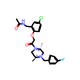 CC(=O)NCc1cc(Cl)ccc1OCC(=O)N1C[C@H](C)N(Cc2ccc(F)cc2)C[C@H]1C